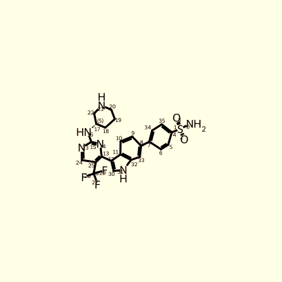 NS(=O)(=O)c1ccc(-c2ccc3c(-c4nc(N[C@H]5CCCNC5)ncc4C(F)(F)F)c[nH]c3c2)cc1